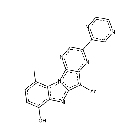 CC(=O)c1c2nc(-c3cnccn3)cnc2n2c1[nH]c1c(O)ccc(C)c12